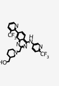 OCC1CCCN(Cc2nc(Nc3ccc(C(F)(F)F)nc3)c3ccc(-c4ncccc4C(F)(F)F)cc3n2)C1